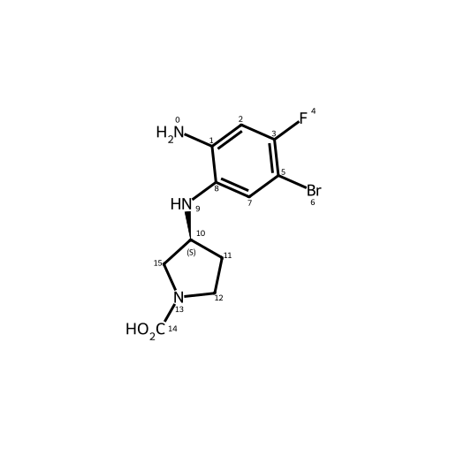 Nc1cc(F)c(Br)cc1N[C@H]1CCN(C(=O)O)C1